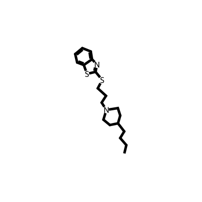 CCCCC1CCN(CCCSc2nc3ccccc3s2)CC1